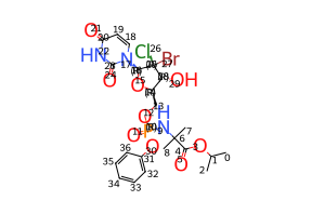 CC(C)OC(=O)C(C)(C)N[P@@](=O)(OC[C@H]1O[C@@H](n2ccc(=O)[nH]c2=O)[C@](Cl)(Br)[C@@H]1O)Oc1ccccc1